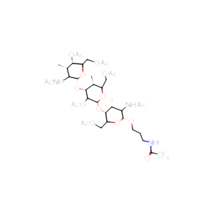 CC(=O)NC1[C@H](OCCCNC(=O)C(F)(F)F)OC(COC(C)=O)[C@@H](O[C@@H]2OC(COC(C)=O)[C@H](C)[C@H](O[C@H]3OC(COC(C)=O)[C@H](OC(C)=O)[C@H](C)C3NC(C)=O)C2OC(C)=O)[C@@H]1C